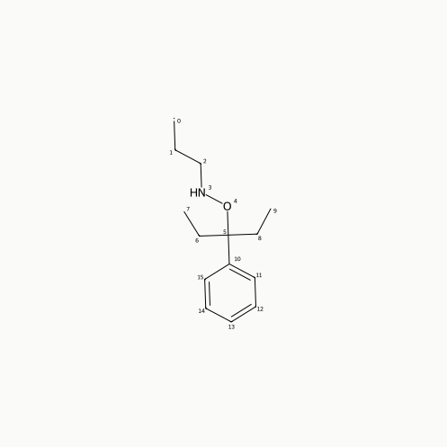 [CH2]CCNOC(CC)(CC)c1ccccc1